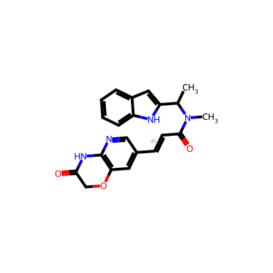 CC(c1cc2ccccc2[nH]1)N(C)C(=O)/C=C/c1cnc2c(c1)OCC(=O)N2